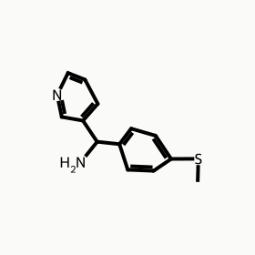 CSc1ccc(C(N)c2cccnc2)cc1